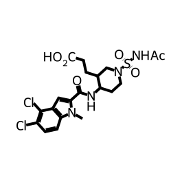 CC(=O)NS(=O)(=O)N1CCC(NC(=O)c2cc3c(Cl)c(Cl)ccc3n2C)C(CCC(=O)O)C1